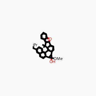 COC1(O)C2c3ccc4c(c3-c3c(ccc5cc(CC(C)C)ccc35)C21)C(C)(C)c1c-4oc2ccccc12